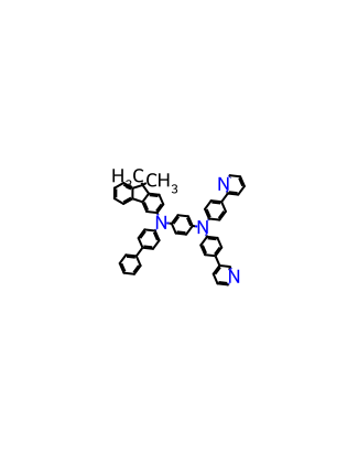 CC1(C)c2ccccc2-c2cc(N(c3ccc(-c4ccccc4)cc3)c3ccc(N(c4ccc(-c5cccnc5)cc4)c4ccc(-c5ccccn5)cc4)cc3)ccc21